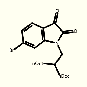 CCCCCCCCCCC(CCCCCCCC)CN1C(=O)C(=O)c2ccc(Br)cc21